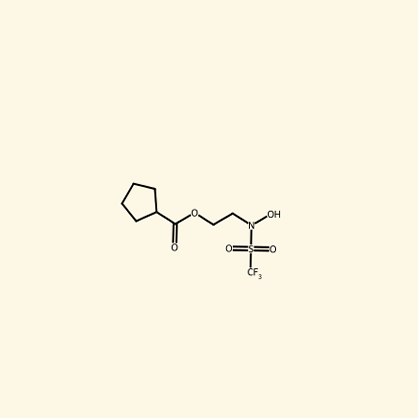 O=C(OCCN(O)S(=O)(=O)C(F)(F)F)C1CCCC1